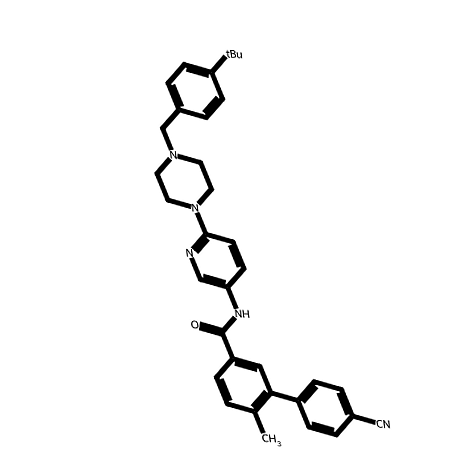 Cc1ccc(C(=O)Nc2ccc(N3CCN(Cc4ccc(C(C)(C)C)cc4)CC3)nc2)cc1-c1ccc(C#N)cc1